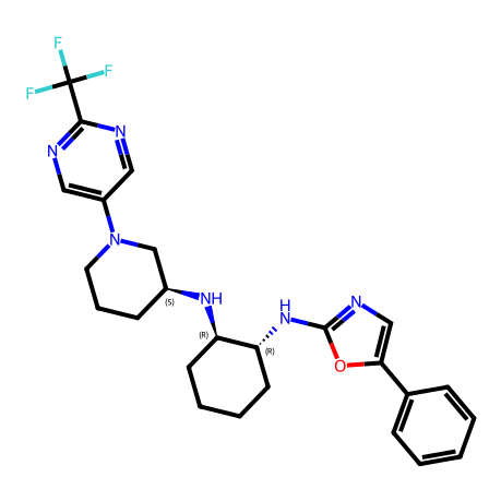 FC(F)(F)c1ncc(N2CCC[C@H](N[C@@H]3CCCC[C@H]3Nc3ncc(-c4ccccc4)o3)C2)cn1